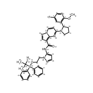 COc1ncc(F)cc1C1CCCN1c1ccn2ncc(C(=O)Nc3ccnn3CCO[Si](c3ccccc3)(c3ccccc3)C(C)(C)C)c2n1